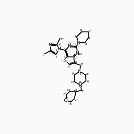 Cc1cn(-c2nc(N3CCCCC3)nc3c(CN4CCN(CC5CCOCC5)CC4)csc23)c(C)n1